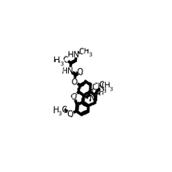 CNCC(C)NC(=O)OC1=CC[C@@]2(C)[C@H]3Cc4ccc(OC)c5c4[C@@]2(CCN3C)C1O5